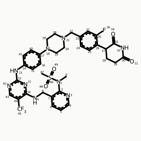 CN(c1ncccc1CNc1nc(Nc2ccc(N3CCN(Cc4ccc(C5CCC(=O)NC5=O)c(F)c4)CC3)cc2)ncc1C(F)(F)F)S(C)(=O)=O